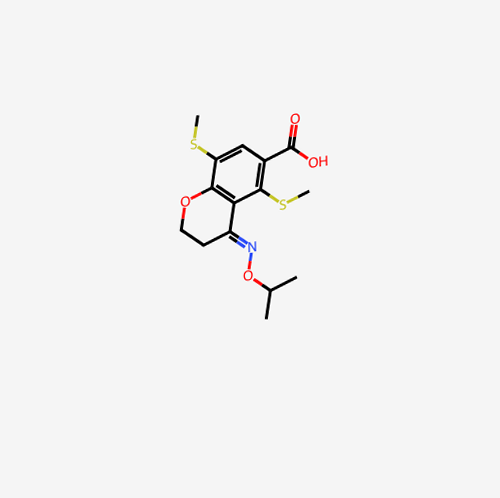 CSc1cc(C(=O)O)c(SC)c2c1OCCC2=NOC(C)C